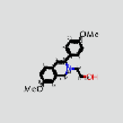 COc1ccc(C2=Cc3ccc(OC)cc3CN2CCO)cc1